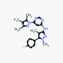 Cc1nn(-c2cc(Nc3nn(C)c(-c4ccc(F)cc4)c3C)ncn2)c(C)c1C(F)(F)F